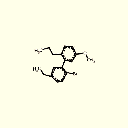 CCCc1c[c]c(OC)cc1-c1cc(CC)ccc1Br